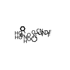 CC(C)(C=C(C#N)C(=O)N1CCCC[C@H](OC(=O)N[C@@H](Cc2ccccc2)B(O)O)C1)N1CCC(F)(F)C1